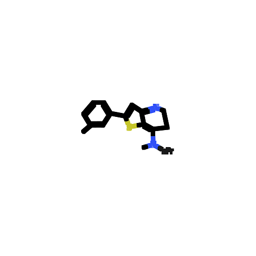 CCCN(C)C1=c2sc(-c3cccc(C)c3)cc2=NCC1